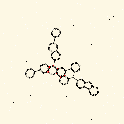 c1ccc(-c2ccc(N(c3cccc(-c4ccccc4N(c4cccc(-c5ccccc5)c4)c4ccc5c(c4)oc4ccccc45)c3)c3ccc4cc(-c5ccccc5)ccc4c3)cc2)cc1